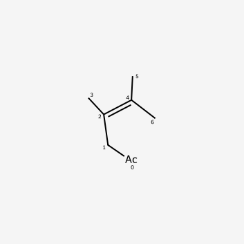 CC(=O)CC(C)=C(C)C